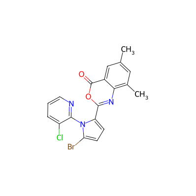 Cc1cc(C)c2nc(-c3ccc(Br)n3-c3ncccc3Cl)oc(=O)c2c1